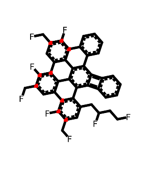 FCCC(F)Cc1ccccc1-c1c(-c2ccccc2CC(F)CCF)c(-c2ccccc2CC(F)CCF)c2c(c1-c1ccccc1CC(F)CCF)=c1ccccc1=2